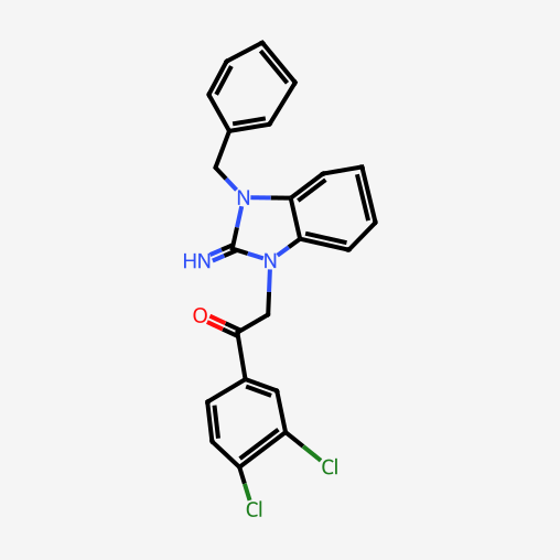 N=c1n(CC(=O)c2ccc(Cl)c(Cl)c2)c2ccccc2n1Cc1ccccc1